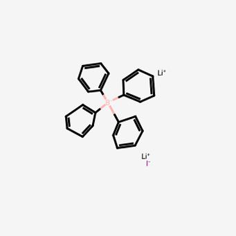 [I-].[Li+].[Li+].c1ccc([B-](c2ccccc2)(c2ccccc2)c2ccccc2)cc1